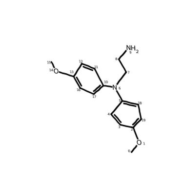 COc1ccc(N(CCN)c2ccc(OC)cc2)cc1